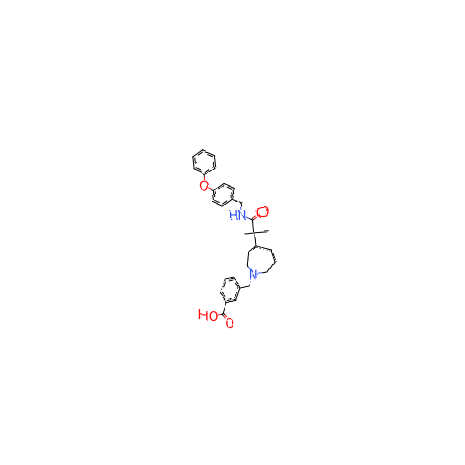 CC(C)(C(=O)NCc1ccc(Oc2ccccc2)cc1)C1CCCN(Cc2cccc(C(=O)O)c2)CC1